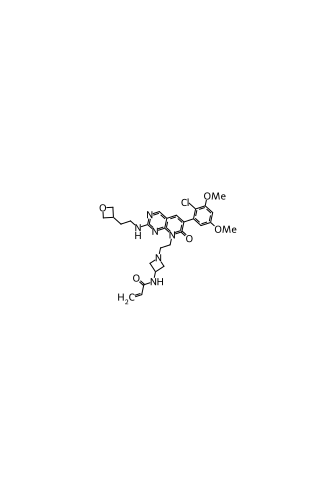 C=CC(=O)NC1CN(CCn2c(=O)c(-c3cc(OC)cc(OC)c3Cl)cc3cnc(NCCC4COC4)nc32)C1